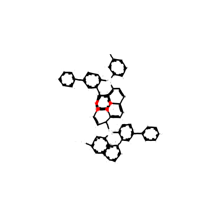 Cc1cccc(N(C2=C3C=CC4=C5C(=CC=C(C=C2)C35)C(N(c2cccc(C(F)(F)F)c2)c2ccc(-c3ccccc3)cc2-c2ccccc2)C=C4)c2ccc(-c3ccccc3)cc2-c2ccccc2)c1